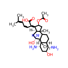 CC(=O)O[C@H]1C[C@@]2(C)[C@@H](C[C@@H](O)[C@H]3[C@@]4(C)[C@@H](N)C[C@@H](O)[C@@H](N)[C@@H]4CC[C@@]32N)/C1=C(\C=C/C=C(C)C)C(=O)O